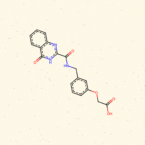 O=C(O)COc1cccc(CNC(=O)c2nc3ccccc3c(=O)[nH]2)c1